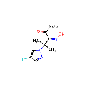 CNC(=O)C(=NO)C(C)(C)n1cc(F)cn1